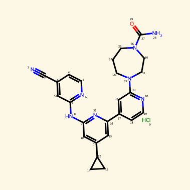 Cl.N#Cc1ccnc(Nc2cc(C3CC3)cc(-c3ccnc(N4CCCN(C(N)=O)CC4)c3)n2)c1